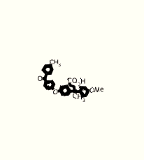 COc1ccc(C(C)(CCC(=O)O)c2ccc(Oc3ccc(C(=O)c4ccc(C)cc4)cc3)cc2)cc1